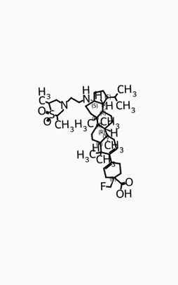 CC(C)[C@@H]1CC[C@]2(NCCN3CC(C)S(=O)(=O)C(C)C3)CC[C@]3(C)[C@H](CC[C@@H]4[C@@]5(C)CC=C(C6=CC[C@@](CF)(C(=O)O)CC6)C(C)(C)[C@@H]5CC[C@]43C)[C@@H]12